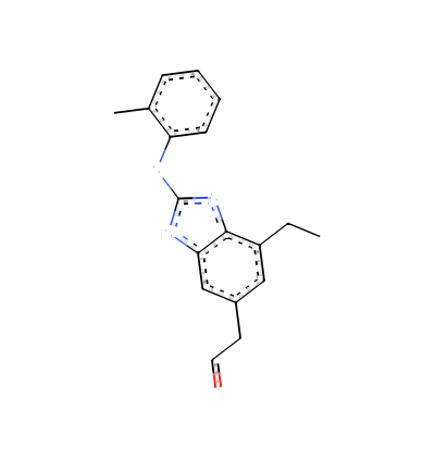 CCc1cc(CC=O)cc2[nH]c(Nc3ccccc3C)nc12